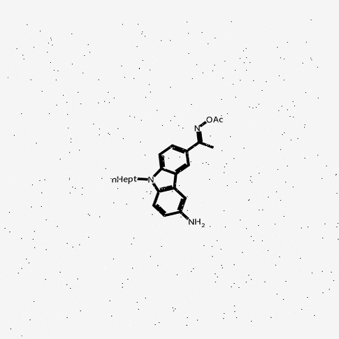 CCCCCCCn1c2ccc(N)cc2c2cc(/C(C)=N/OC(C)=O)ccc21